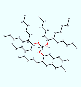 CCCCCC(CCCCC)C(CCCCC)O[SiH](OC(CCCCC)C(CCCCC)CCCCC)OC(CCCCC)C(CCCCC)CCCCC